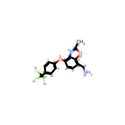 Cc1nc2c(Oc3ccc(C(F)(F)F)cc3)ccc(CN)c2o1